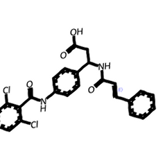 O=C(O)CC(NC(=O)/C=C/c1ccccc1)c1ccc(NC(=O)c2c(Cl)cncc2Cl)cc1